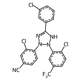 N#Cc1ccc(N2N=C(c3cccc(Cl)c3)NN2c2cc(C(F)(F)F)ccc2Cl)c(Cl)c1